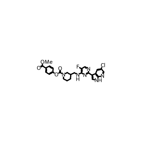 COC(=O)c1ccc(OC(=O)N2CCCC(CNc3nc(-c4c[nH]c5ncc(Cl)cc45)ncc3F)C2)cc1